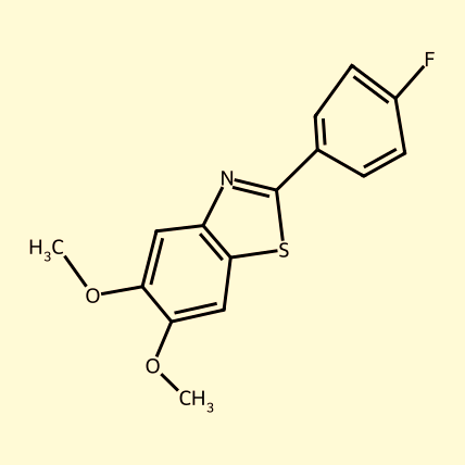 COc1cc2nc(-c3ccc(F)cc3)sc2cc1OC